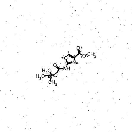 COC(=O)c1coc(NC(=O)OC(C)(C)C)n1